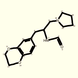 O=CNC(Cc1ccc2c(c1)OCCO2)CN1CCCC1